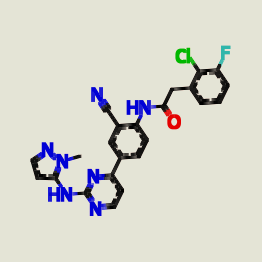 Cn1nccc1Nc1nccc(-c2ccc(NC(=O)Cc3cccc(F)c3Cl)c(C#N)c2)n1